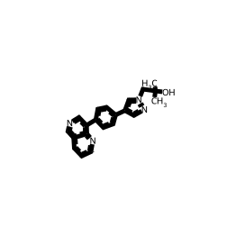 CC(C)(O)Cn1cc(-c2ccc(-c3cncc4cc[c]nc34)cc2)cn1